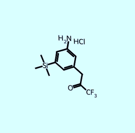 C[Si](C)(C)c1cc(N)cc(CC(=O)C(F)(F)F)c1.Cl